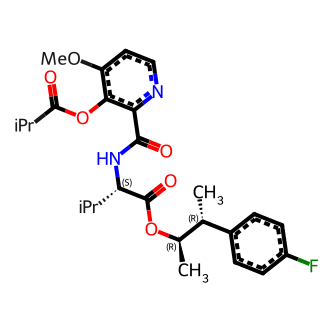 COc1ccnc(C(=O)N[C@H](C(=O)O[C@H](C)[C@H](C)c2ccc(F)cc2)C(C)C)c1OC(=O)C(C)C